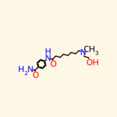 CN(CCO)CCCCCCCC(=O)Nc1ccc(C(N)=O)cc1